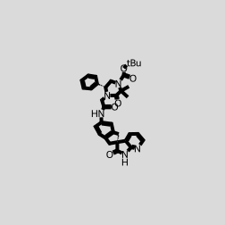 CC(C)(C)OC(=O)N1C[C@@H](c2ccccc2)N(CC(=O)Nc2ccc3c(c2)C[C@@]2(C3)C(=O)Nc3ncccc32)C(=O)C1(C)C